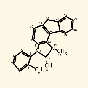 Cc1ccccc1N1c2ccc3c(c2N(C)[C@@H]1C)-c1ccccc1C3